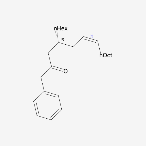 CCCCCCCC/C=C\C[C@@H](CCCCCC)CC(=O)Cc1ccccc1